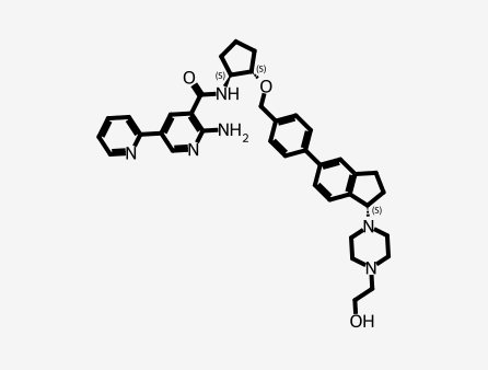 Nc1ncc(-c2ccccn2)cc1C(=O)N[C@H]1CCC[C@@H]1OCc1ccc(-c2ccc3c(c2)CC[C@@H]3N2CCN(CCO)CC2)cc1